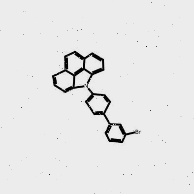 Brc1cccc(-c2ccc(-n3c4cccc5ccc6cccc3c6c54)cc2)c1